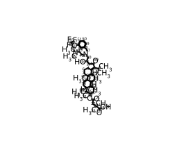 CC(C)C1=C2C(CC[C@]3(C)[C@@H]2CC[C@@H]2[C@@]4(C)CC[C@H](OC(=O)CC(C)(C)C(=O)O)C(C)(C)[C@@H]4CC[C@]23C)[C@H]([C@@H](O)CN(CCN(C)C)Cc2cccc(OC(F)(F)F)c2)C1=O